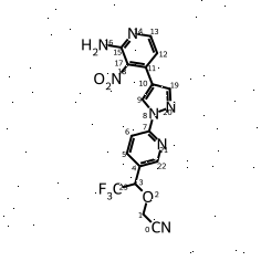 N#CCOC(c1ccc(-n2cc(-c3ccnc(N)c3[N+](=O)[O-])cn2)nc1)C(F)(F)F